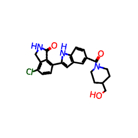 O=C1NCc2c(Cl)ccc(-c3cc4cc(C(=O)N5CCC(CO)CC5)ccc4[nH]3)c21